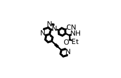 CCC(=O)C(=N)c1ccc(-n2cnc3cnc4ccc(C#Cc5cccnc5)cc4c32)cc1C#N